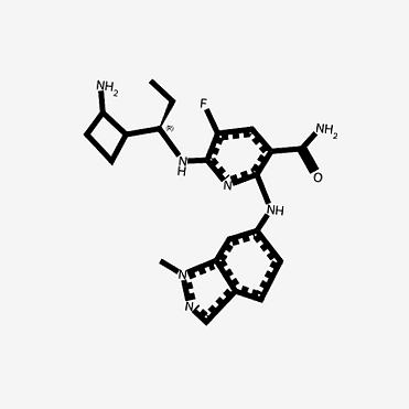 CC[C@@H](Nc1nc(Nc2ccc3cnn(C)c3c2)c(C(N)=O)cc1F)C1CCC1N